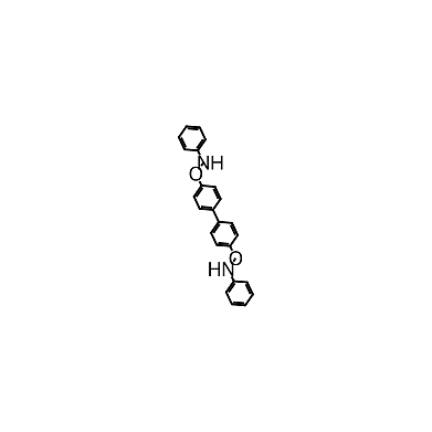 c1ccc(NOc2ccc(-c3ccc(ONc4ccccc4)cc3)cc2)cc1